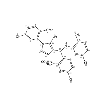 COc1cnc(Cl)cc1-n1nc(C(=O)O)c(C(Nc2cc(Cl)ccc2C)c2ccc(Cl)cc2C)c1C(C)C